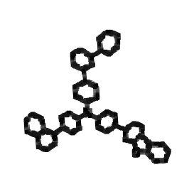 c1ccc(-c2cccc(-c3ccc(N(c4ccc(-c5ccc6c(c5)oc5ccccc56)cc4)c4ccc(-c5cccc6ccccc56)cc4)cc3)c2)cc1